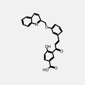 O=C(O)c1ccc(O)c(C(=O)C=Cc2cccc(OCc3ccc4ccccc4n3)c2)c1